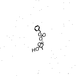 CC1C[C@@H](COC(=O)OCc2ccccc2)OC1O